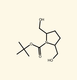 CC(C)(C)OC(=O)N1C(CO)CCC1CO